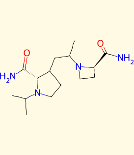 CC(CC1CCN(C(C)C)[C@@H]1C(N)=O)N1CC[C@@H]1C(N)=O